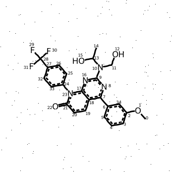 COc1cccc(-c2nc(N(CO)C(C)O)nc3c2ccc(=O)n3-c2ccc(C(F)(F)F)cc2)c1